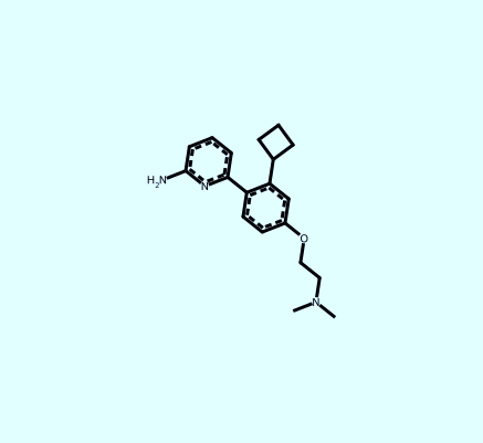 CN(C)CCOc1ccc(-c2cccc(N)n2)c(C2CCC2)c1